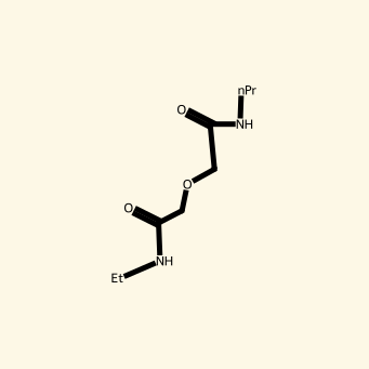 CCCNC(=O)COCC(=O)NCC